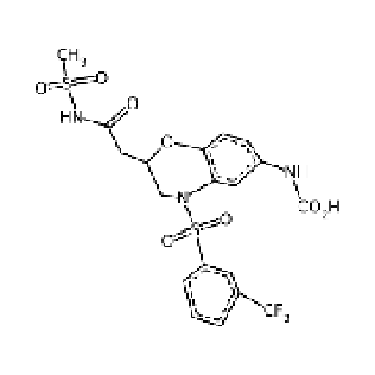 CS(=O)(=O)NC(=O)CC1CN(S(=O)(=O)c2cccc(C(F)(F)F)c2)c2cc(NC(=O)O)ccc2O1